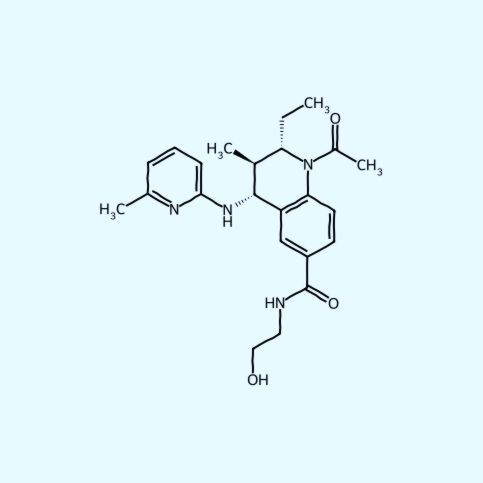 CC[C@H]1[C@H](C)[C@@H](Nc2cccc(C)n2)c2cc(C(=O)NCCO)ccc2N1C(C)=O